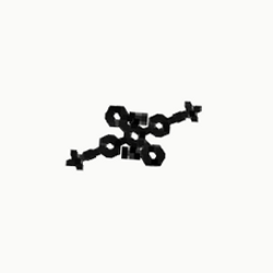 C[Si](C)(C)C#Cc1ccc(-c2c3[nH]c4ccccc4c3c(-c3ccc(C#C[Si](C)(C)C)cc3)c3[nH]c4ccccc4c23)cc1